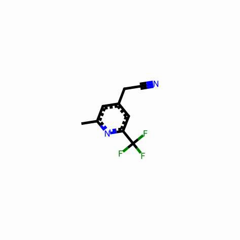 Cc1cc(CC#N)cc(C(F)(F)F)n1